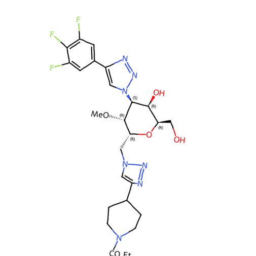 CCOC(=O)N1CCC(c2cn(C[C@H]3O[C@H](CO)[C@H](O)[C@H](n4cc(-c5cc(F)c(F)c(F)c5)nn4)[C@H]3OC)nn2)CC1